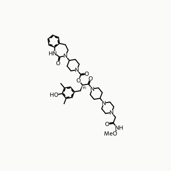 CONC(=O)CN1CCN(C2CCN(C(=O)[C@@H](Cc3cc(C)c(O)c(C)c3)OC(=O)N3CCC(N4CCc5ccccc5NC4=O)CC3)CC2)CC1